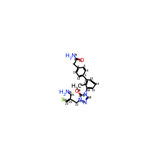 Cc1c(-c2ccc(CC(N)=O)cc2)cccc1-n1cnn(C/C(=C/F)CN)c1=O